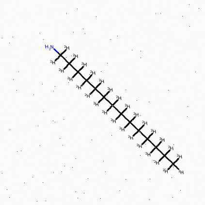 [2H]C([2H])([2H])C([2H])([2H])C([2H])([2H])C([2H])([2H])C([2H])([2H])C([2H])([2H])C([2H])([2H])C([2H])([2H])C([2H])([2H])C([2H])([2H])C([2H])([2H])C([2H])([2H])C([2H])([2H])C([2H])([2H])N